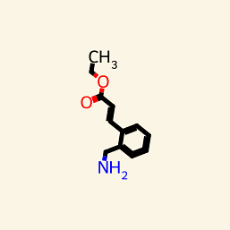 CCOC(=O)/C=C/C1=CC=C=C=C1CN